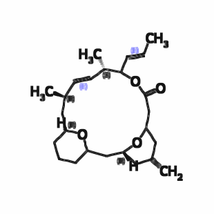 C=C1CC2CC(=O)OC(/C=C/C)[C@@H](C)/C=C/[C@H](C)C[C@H]3CCCC(C[C@@H](C1)O2)O3